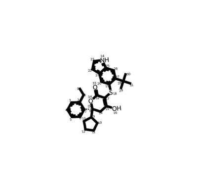 CCc1ccccc1[C@@]1(C2CCCC2)CC(O)=C(Sc2cc3cc[nH]c3cc2C(C)(C)C)C(=O)O1